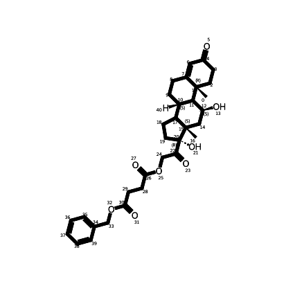 C[C@]12CCC(=O)C=C1CC[C@@H]1C2[C@@H](O)C[C@@]2(C)C1CC[C@]2(O)C(=O)COC(=O)CCC(=O)OCc1ccccc1